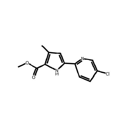 COC(=O)c1[nH]c(-c2ccc(Cl)cn2)cc1C